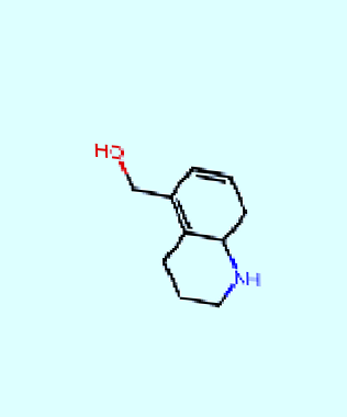 OCC1=C2CCCNC2CC=C1